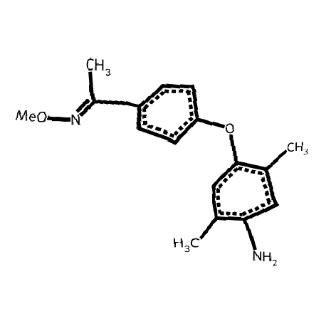 CON=C(C)c1ccc(Oc2cc(C)c(N)cc2C)cc1